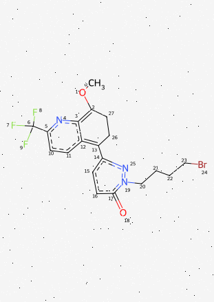 COC1=c2nc(C(F)(F)F)ccc2=C(c2ccc(=O)n(CCCCBr)n2)CC1